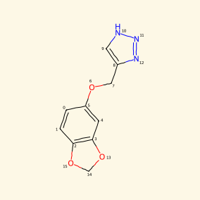 c1cc2c(cc1OCc1c[nH]nn1)OCO2